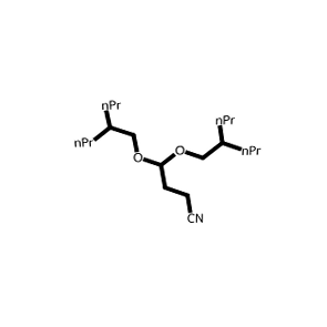 CCCC(CCC)COC(CCC#N)OCC(CCC)CCC